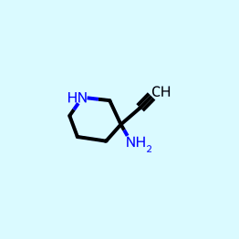 C#CC1(N)CCCNC1